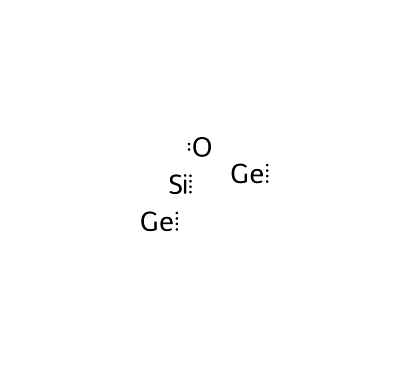 [Ge].[Ge].[O].[Si]